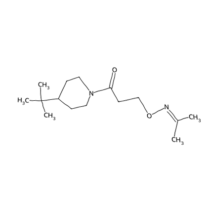 CC(C)=NOCCC(=O)N1CCC(C(C)(C)C)CC1